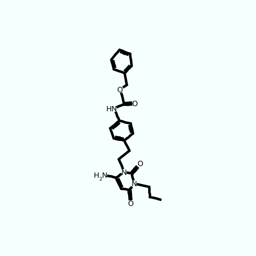 CCCn1c(=O)cc(N)n(CCc2ccc(NC(=O)OCc3ccccc3)cc2)c1=O